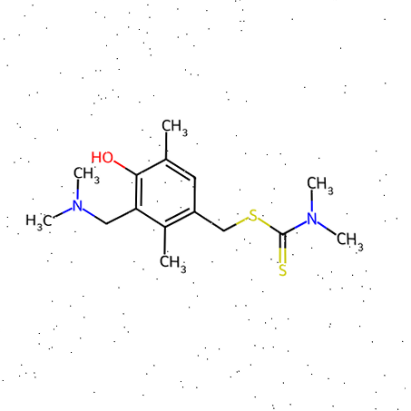 Cc1cc(CSC(=S)N(C)C)c(C)c(CN(C)C)c1O